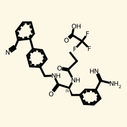 CCC(=O)N[C@@H](Cc1cccc(C(=N)N)c1)C(=O)NCc1ccc(-c2ccccc2C#N)cc1.O=C(O)C(F)(F)F